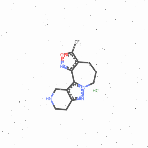 Cl.FC(F)(F)c1onc2c1CCCn1nc3c(c1-2)CNCC3